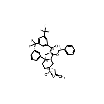 C=CC[C@]1([N+](=O)[O-])CC[C@@](CO[C@H](C)c2cc(C(F)(F)F)cc(C(F)(F)F)c2)(c2ccccc2)N(C(=O)OCc2ccccc2)C1